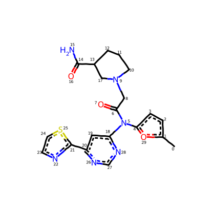 Cc1ccc(N(C(=O)CN2CCCC(C(N)=O)C2)c2cc(-c3nccs3)ncn2)o1